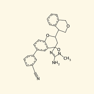 CN1OC2(CC(C3COCc4ccccc43)Oc3ccc(-c4cccc(C#N)c4)cc32)N=C1N